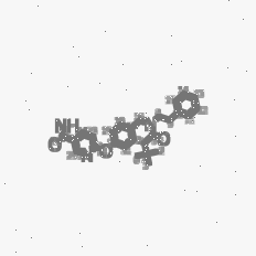 CC(C)(C)CC(=O)N(CCc1ccccc1)Cc1ccc(Oc2ccc(C(N)=O)cn2)cc1